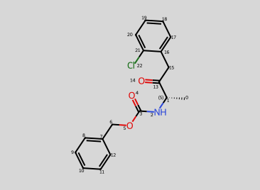 C[C@H](NC(=O)OCc1ccccc1)C(=O)Cc1ccccc1Cl